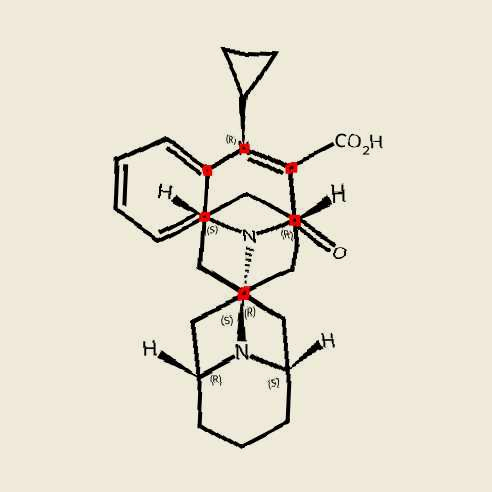 O=C(O)c1nc2ccccc2n([C@H]2C[C@H]3CCC[C@@H](C2)N3[C@@H]2C[C@@H]3C[C@@H](C[C@@H](C4CC4)C3)C2)c1=O